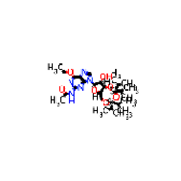 CCOc1nc(NC(C)=O)nc2c1ncn2[C@@H]1O[C@@H]2CO[Si](C(C)C)(C(C)C)O[Si](C(C)C)(C(C)C)O[C@H]2[C@H]1O